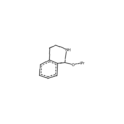 CC(C)OC1NCCc2ccccc21